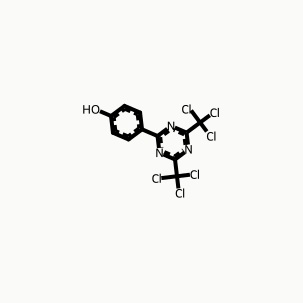 Oc1ccc(-c2nc(C(Cl)(Cl)Cl)nc(C(Cl)(Cl)Cl)n2)cc1